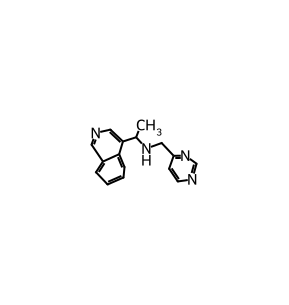 CC(NCc1ccncn1)c1cncc2ccccc12